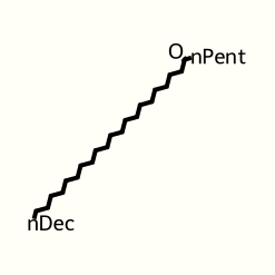 CCCCCCCCCCCCCCCCCCCCCCCCCCCCCCC(=O)CCCCC